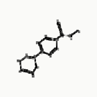 COC(=O)c1ccc(C2=CCC=NC2)cc1